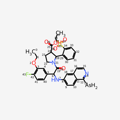 CCOc1cc(C(Nc2ccc3c([AsH2])nccc3c2)C(=O)N2CCC(C(=O)O)C2c2ccccc2S(=O)(=O)CC)ccc1F